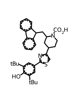 CC(C)(C)c1cc(-c2nc(C3CCN(C(=O)O)C(CC4c5ccccc5-c5ccccc54)C3)cs2)cc(C(C)(C)C)c1O